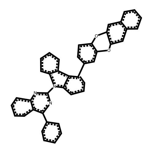 c1ccc(-c2nc(-n3c4ccccc4c4c(-c5ccc6c(c5)Oc5cc7ccccc7cc5O6)cccc43)nc3ccccc23)cc1